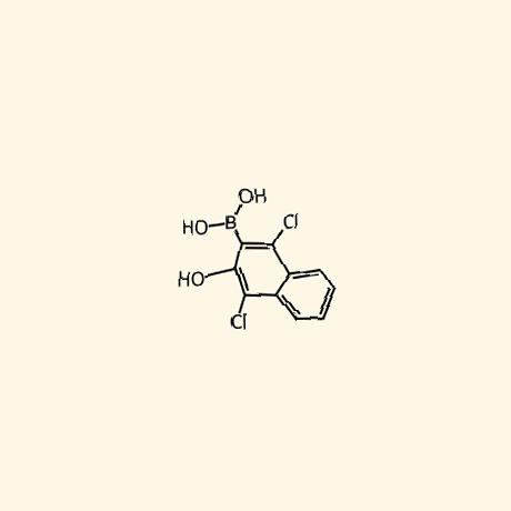 OB(O)c1c(O)c(Cl)c2ccccc2c1Cl